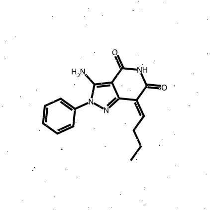 CCC/C=C1/C(=O)NC(=O)c2c1nn(-c1ccccc1)c2N